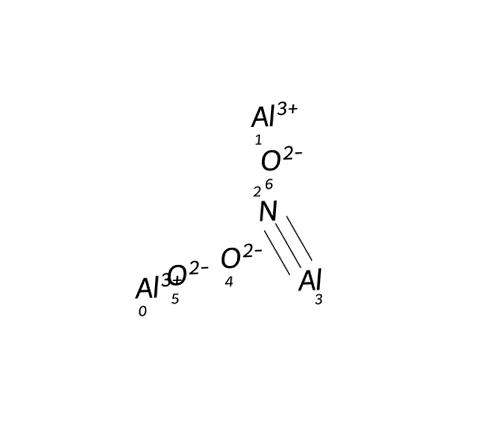 [Al+3].[Al+3].[N]#[Al].[O-2].[O-2].[O-2]